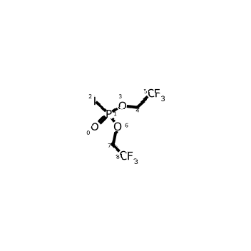 O=P(I)(OCC(F)(F)F)OCC(F)(F)F